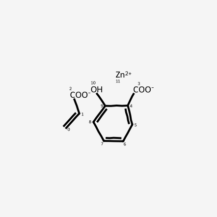 C=CC(=O)[O-].O=C([O-])c1ccccc1O.[Zn+2]